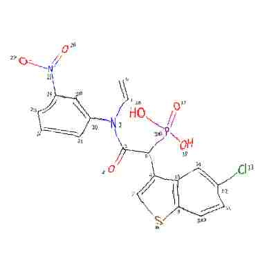 C=CN(C(=O)C(c1csc2ccc(Cl)cc12)P(=O)(O)O)c1cccc([N+](=O)[O-])c1